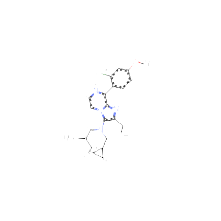 CCc1nc2c(-c3ccc(OC)cc3Cl)nccn2c1N(CC(C)CC)CC1CC1